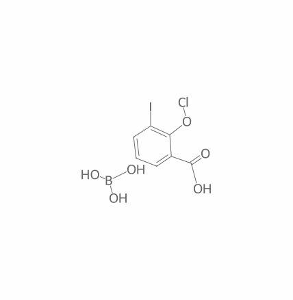 O=C(O)c1cccc(I)c1OCl.OB(O)O